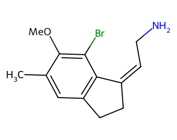 COc1c(C)cc2c(c1Br)/C(=C\CN)CC2